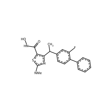 CNc1nc(C(C)c2ccc(-c3ccccc3)c(F)c2)c(C(=O)NO)s1